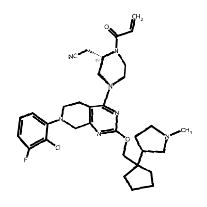 C=CC(=O)N1CCN(c2nc(OCC3(C4CCN(C)C4)CCCC3)nc3c2CCN(c2cccc(F)c2Cl)C3)C[C@@H]1CC#N